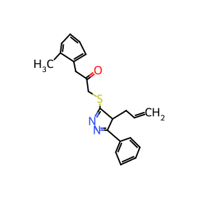 C=CCC1C(SCC(=O)Cc2ccccc2C)=NN=C1c1ccccc1